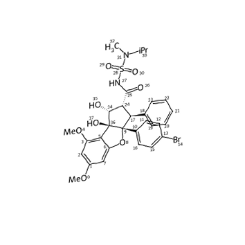 COc1cc(OC)c2c(c1)O[C@@]1(c3ccc(Br)cc3)[C@H](c3ccccc3)[C@@H](C(=O)NS(=O)(=O)N(C)C(C)C)[C@@H](O)[C@@]21O